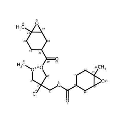 COCC(Cl)(COC(=O)C1CCC2(C)OC2C1)COC(=O)C1CCC2(C)OC2C1